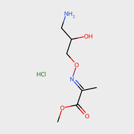 COC(=O)C(C)=NOCC(O)CN.Cl